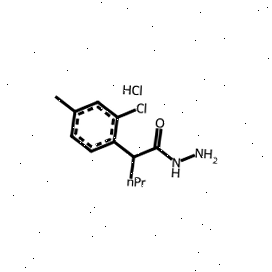 CCCC(C(=O)NN)c1ccc(C)cc1Cl.Cl